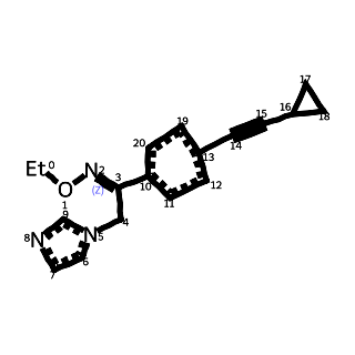 CCO/N=C(\Cn1ccnc1)c1ccc(C#CC2CC2)cc1